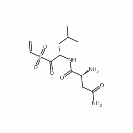 C=CS(=O)(=O)C(=O)[C@H](CC(C)C)NC(=O)[C@@H](N)CC(N)=O